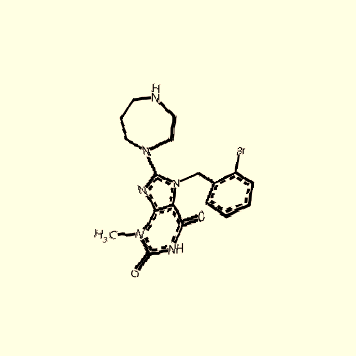 Cn1c(=O)[nH]c(=O)c2c1nc(N1CCCNCC1)n2Cc1ccccc1Br